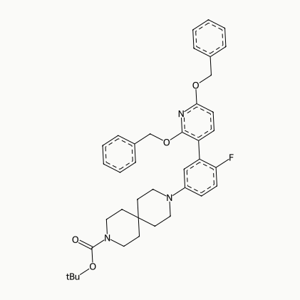 CC(C)(C)OC(=O)N1CCC2(CC1)CCN(c1ccc(F)c(-c3ccc(OCc4ccccc4)nc3OCc3ccccc3)c1)CC2